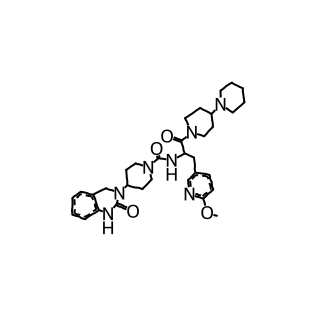 COc1ccc(CC(NC(=O)N2CCC(N3Cc4ccccc4NC3=O)CC2)C(=O)N2CCC(N3CCCCC3)CC2)cn1